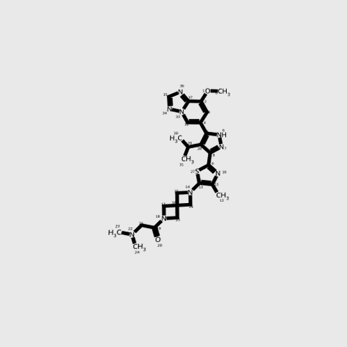 COc1cc(-c2[nH]nc(-c3nc(C)c(N4CC5(CN(C(=O)CN(C)C)C5)C4)s3)c2C(C)C)cn2ncnc12